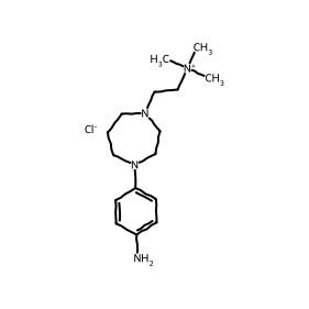 C[N+](C)(C)CCN1CCCN(c2ccc(N)cc2)CC1.[Cl-]